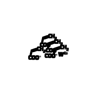 C=CC(=O)[O-].C=CC(=O)[O-].C=CC(=O)[O-].C=CC(=O)[O-].[W+4]